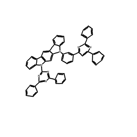 c1ccc(-c2cc(-c3cccc(-n4c5ccccc5c5cc6c7ccccc7n(-c7nc(-c8ccccc8)nc(-c8ccccc8)n7)c6cc54)c3)nc(-c3ccccc3)n2)cc1